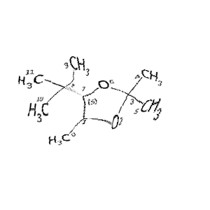 CC1OC(C)(C)O[C@H]1C(C)(C)C